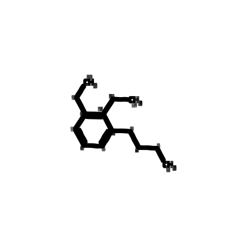 CCCCc1cccc(CC)c1CC